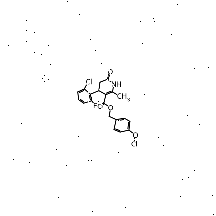 CC1=C(C(=O)OCc2ccc(OCl)cc2)C(c2c(F)cccc2Cl)CC(=O)N1